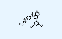 CCS(=O)(=O)N1CCC(Nc2cc(-c3cc(C#N)cc(C4CC4)c3)cc3ccncc23)CC1